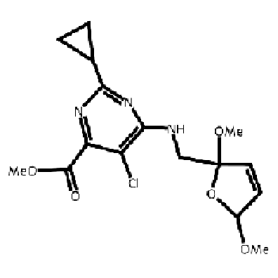 COC(=O)c1nc(C2CC2)nc(NCC2(OC)C=CC(OC)O2)c1Cl